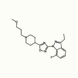 CCc1nn(-c2noc(C3CCN(CCCOC)CC3)n2)c2c(F)cccc12